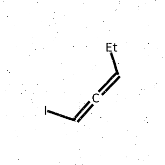 CCC=C=CI